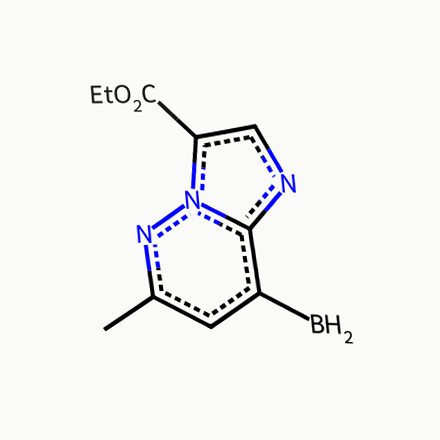 Bc1cc(C)nn2c(C(=O)OCC)cnc12